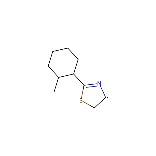 CC1CCCCC1C1=N[CH]CS1